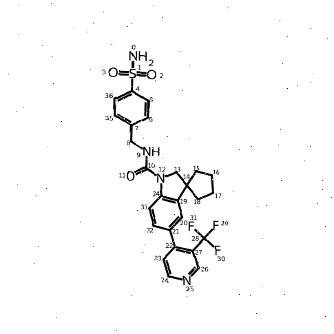 NS(=O)(=O)c1ccc(CNC(=O)N2CC3(CCCC3)c3cc(-c4ccncc4C(F)(F)F)ccc32)cc1